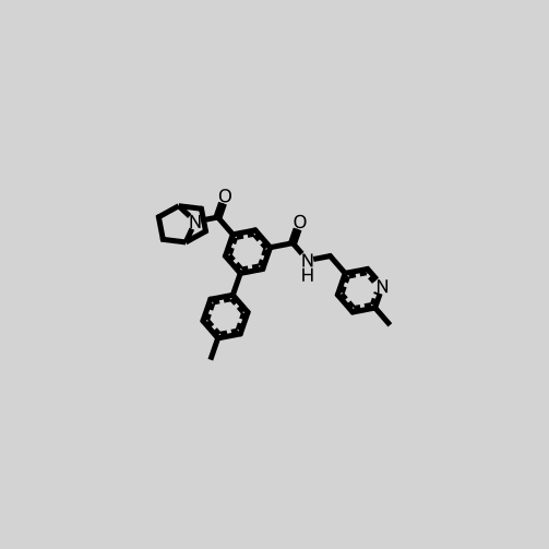 Cc1ccc(-c2cc(C(=O)NCc3ccc(C)nc3)cc(C(=O)N3C4CCC3CC4)c2)cc1